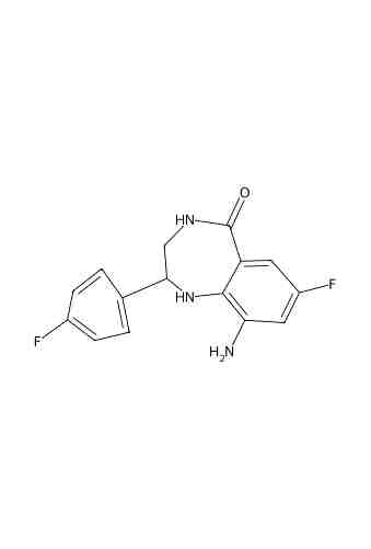 Nc1cc(F)cc2c1NC(c1ccc(F)cc1)CNC2=O